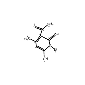 CCn1c(O)[c]c(C)c(C(N)=O)c1=O